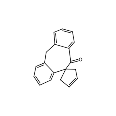 O=C1c2ccccc2Cc2ccccc2C12CC=CC2